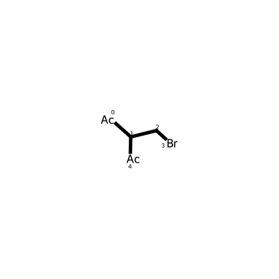 CC(=O)C(CBr)C(C)=O